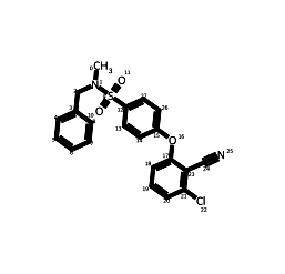 CN(Cc1ccccc1)S(=O)(=O)c1ccc(Oc2cccc(Cl)c2C#N)cc1